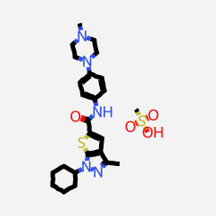 CS(=O)(=O)O.Cc1nn(C2CCCCC2)c2sc(C(=O)Nc3ccc(N4CCN(C)CC4)cc3)cc12